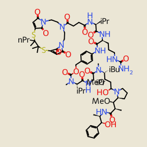 CCCC1(C)SC2=CC(=O)N(CCN(C(=O)CCC(=O)N[C@H](C(=O)N[C@@H](CCCNC(N)=O)C(=O)Nc3ccc(COC(=O)N(C)[C@H](C(=O)N[C@H](C(=O)N(C)[C@@H]([C@@H](C)CC)[C@@H](CC(O)N4CCC[C@H]4[C@H](OC)[C@@H](C)C(=O)N[C@H](C)[C@@H](O)c4ccccc4)OC)C(C)C)C(C)C)cc3)C(C)C)CCN3C(=O)C=C(SC1(C)C)C3=O)C2=O